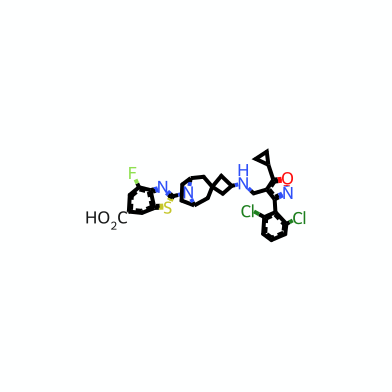 O=C(O)c1cc(F)c2nc(N3C4CCC3CC3(CC(NCc5c(-c6c(Cl)cccc6Cl)noc5C5CC5)C3)C4)sc2c1